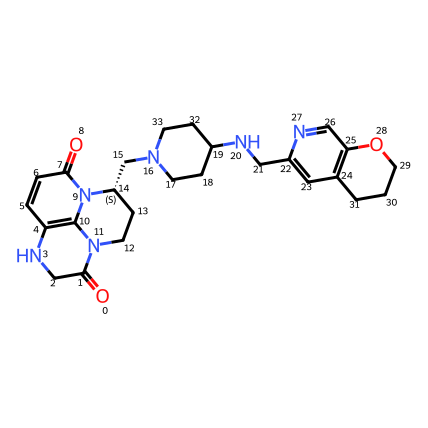 O=C1CNc2ccc(=O)n3c2N1CC[C@H]3CN1CCC(NCc2cc3c(cn2)OCCC3)CC1